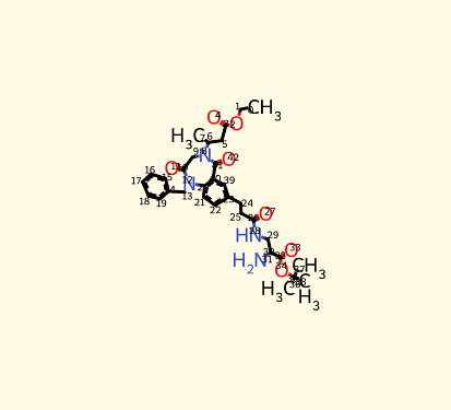 CCOC(=O)CC(C)N1CC(=O)N(Cc2ccccc2)c2ccc(CCC(=O)NCC(N)C(=O)OC(C)(C)C)cc2C1=O